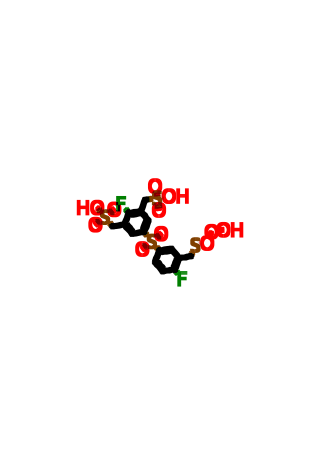 O=S(=O)(O)Cc1cc(S(=O)(=O)c2ccc(F)c(CSOOO)c2)cc(CS(=O)(=O)O)c1F